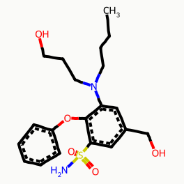 CCCCN(CCCO)c1cc(CO)cc(S(N)(=O)=O)c1Oc1ccccc1